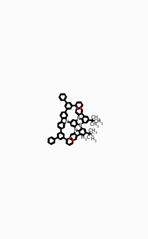 CC(C)(C)c1cc2c3c(c1)c1ccccc1n3-c1cc(-n3c4cc(-c5cc(-c6ccccc6)cc(-c6ccccc6)c5)ccc4c4ccc(-c5cc(-c6ccccc6)cc(-c6ccccc6)c5)cc43)cc3c1B2c1cc(C(C)(C)C)cc2c4ccccc4n-3c12